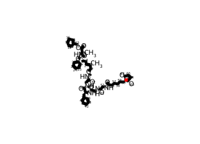 C/C(=C\CCP(=O)(N[C@@H](C)C(=O)OCc1ccccc1)Oc1ccccc1)COCNC(=O)CNC(=O)[C@H](Cc1ccccc1)NC(=O)CNC(=O)CNC(=O)CCCCCN1C(=O)C=CC1=O